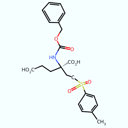 Cc1ccc(S(=O)(=O)CC[C@@](CCC(=O)O)(NC(=O)OCc2ccccc2)C(=O)O)cc1